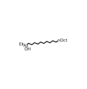 CCCCCCCCCCCCCCCCCC[As](O)CC